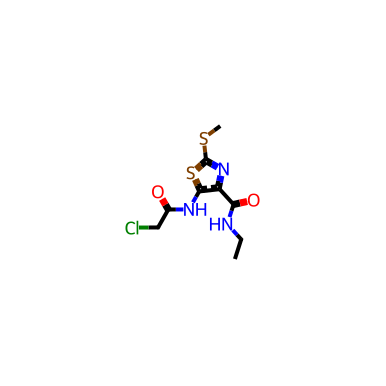 CCNC(=O)c1nc(SC)sc1NC(=O)CCl